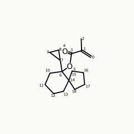 C=C(C)C(=O)OC1(C2CC2)CCCCC12CCCC2